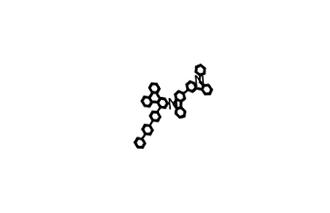 c1ccc(-c2ccc(-c3ccc(-c4cc(-n5c6ccccc6c6cc(-c7ccc8c(c7)c7ccccc7n8-c7ccccc7)ccc65)cc5c6ccccc6c6ccccc6c45)cc3)cc2)cc1